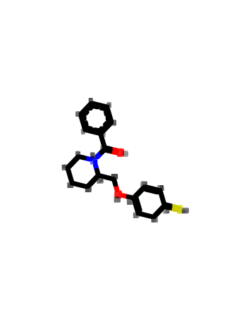 O=C(c1ccccc1)N1CCCCC1COC1=CCC(=S)C=C1